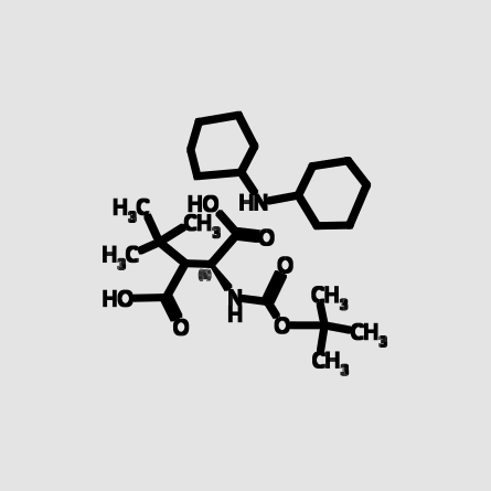 C1CCC(NC2CCCCC2)CC1.CC(C)(C)OC(=O)N[C@H](C(=O)O)C(C(=O)O)C(C)(C)C